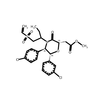 C=CS(=O)(=O)CC(CC)N1C(=O)[C@H](CC(=O)OC)O[C@H](c2cccc(Cl)c2)[C@H]1c1ccc(Cl)cc1